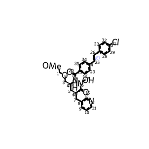 COCOC[C@H](C[C@H](Cc1cccnc1)C(=O)NO)NC(=O)c1ccc(/C=C/c2ccc(Cl)cc2)cc1